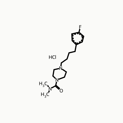 CN(C)C(=O)N1CCN(CCCCc2ccc(F)cc2)CC1.Cl